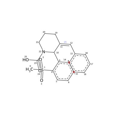 CS(=O)(=O)c1ccccc1C1/C(=C\c2ccccc2)CCCN1C(=O)O